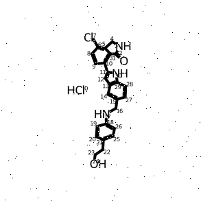 Cl.O=C1NCc2c(Cl)ccc(-c3cc4cc(CNc5ccc(CCO)cc5)ccc4[nH]3)c21